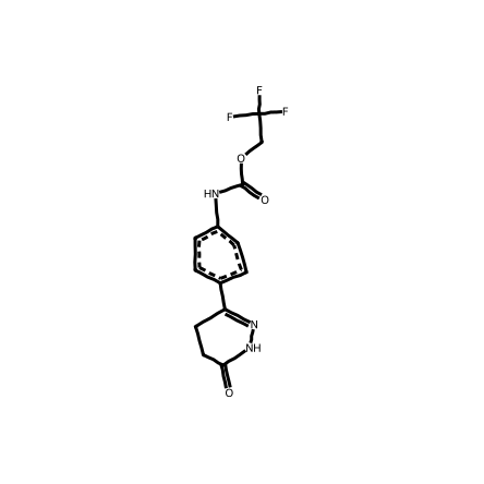 O=C1CCC(c2ccc(NC(=O)OCC(F)(F)F)cc2)=NN1